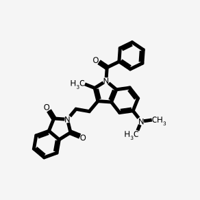 Cc1c(CCN2C(=O)c3ccccc3C2=O)c2cc(N(C)C)ccc2n1C(=O)c1ccccc1